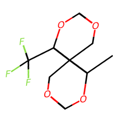 CC1OCOCC12COCOC2C(F)(F)F